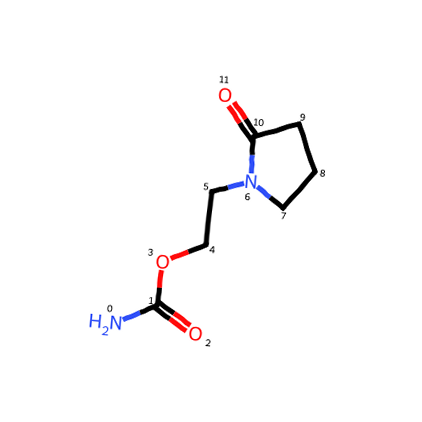 NC(=O)OCCN1CCCC1=O